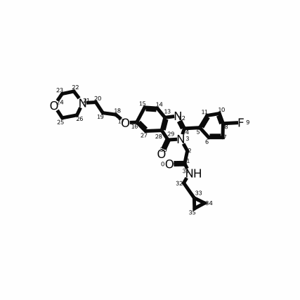 O=C(Cn1c(-c2ccc(F)cc2)nc2ccc(OCCCN3CCOCC3)cc2c1=O)NCC1CC1